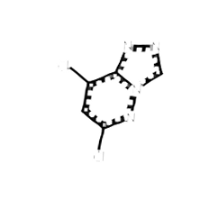 Clc1cc(Cl)c2nncn2n1